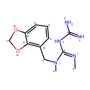 C/N=C(/NC(=N)N)N(C)Cc1cccc2c1OCO2